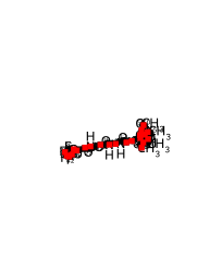 CC(=O)NC1C(OCCCCC(=O)NCCCNC(=O)CCOCCNC(=O)CCCC(=O)Oc2c(F)c(F)c(F)c(F)c2F)OC(COC(C)=O)C(OC(C)=O)C1OC(C)=O